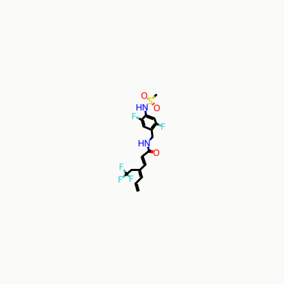 C=C/C=C(/C=C/C(=O)NCc1cc(F)c(NS(C)(=O)=O)cc1F)CC(F)(F)F